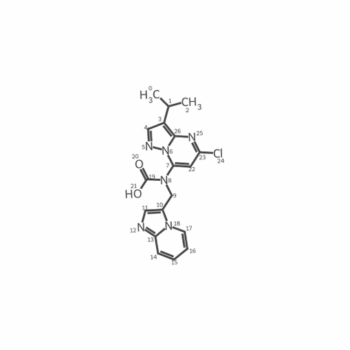 CC(C)c1cnn2c(N(Cc3cnc4ccccn34)C(=O)O)cc(Cl)nc12